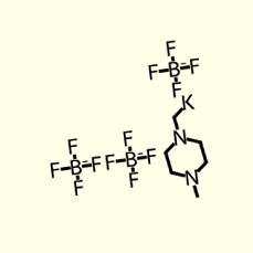 CN1CCN([CH2][K])CC1.F[B-](F)(F)F.F[B-](F)(F)F.F[B-](F)(F)F